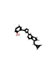 Oc1ccccc1C1=CCC(c2ccc3c(c2)C=CC3CC2CC2)=C1